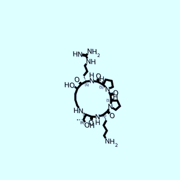 C[C@@H](O)[C@@H]1NCCCC(O)C(=O)[C@H](CCCNC(=N)N)NC(=O)[C@@H]2CCCN2C(=O)[C@@H]2CCCN2C(=O)[C@H](CCCCN)NC1=O